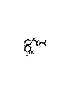 CC(C)c1nc(C(=O)N2CCOC3(CCNCC3)C2)cs1.Cl